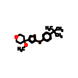 COC1(c2csc(Sc3ccc(C(C)(C)C)cc3)c2)CCOCC1